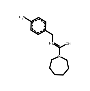 Nc1ccc(C[SH]=C(O)N2CCCCCC2)cc1